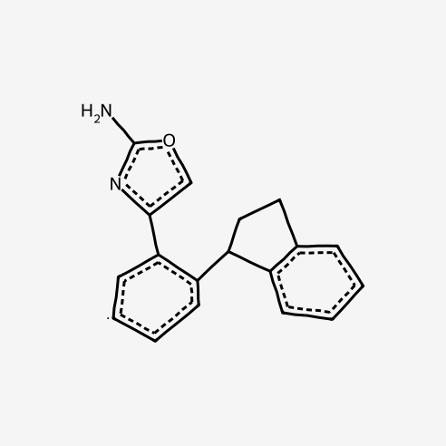 Nc1nc(-c2c[c]ccc2C2CCc3ccccc32)co1